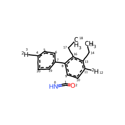 N=C=O.[2H]c1ccc(-c2ccc([2H])c(CC)c2CC)cc1